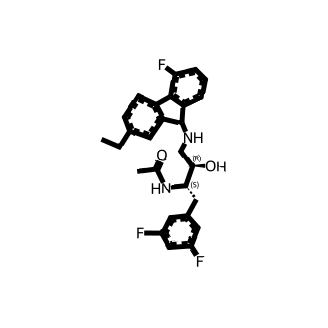 CCc1ccc2c(c1)C(NC[C@@H](O)[C@H](Cc1cc(F)cc(F)c1)NC(C)=O)c1cccc(F)c1-2